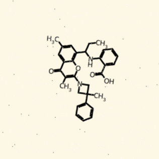 CCC(Nc1ccccc1C(=O)O)c1cc(C)cc2c(=O)c(C)c(N3CC(C)(c4ccccc4)C3)oc12